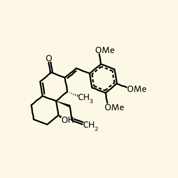 C=CC[C@@]12C(=CC(=O)/C(=C/c3cc(OC)c(OC)cc3OC)[C@@H]1C)CCC[C@@H]2O